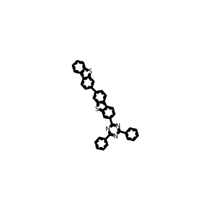 c1ccc(-c2nc(-c3ccccc3)nc(-c3ccc4c(c3)sc3cc(-c5ccc6c(c5)sc5ccccc56)ccc34)n2)cc1